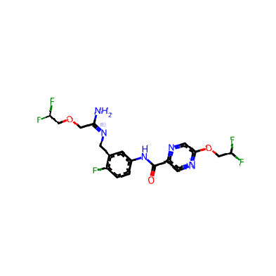 N/C(COCC(F)F)=N/Cc1cc(NC(=O)c2cnc(OCC(F)F)cn2)ccc1F